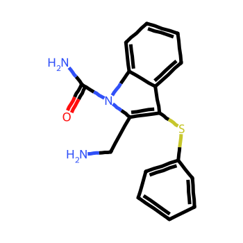 NCc1c(Sc2ccccc2)c2ccccc2n1C(N)=O